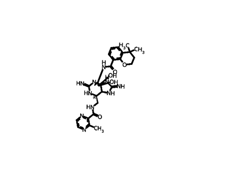 Cc1nccnc1C(=O)NC[C@H]1NC(=N)N2CC(NC(=O)c3cccc4c3OCCC4(C)C)C(O)(O)C23NC(=N)NC13